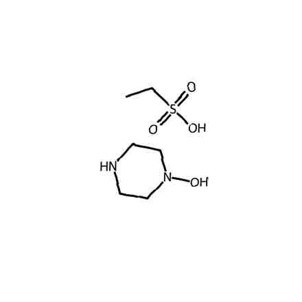 CCS(=O)(=O)O.ON1CCNCC1